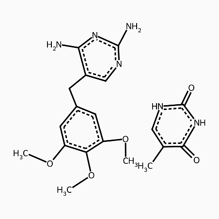 COc1cc(Cc2cnc(N)nc2N)cc(OC)c1OC.Cc1c[nH]c(=O)[nH]c1=O